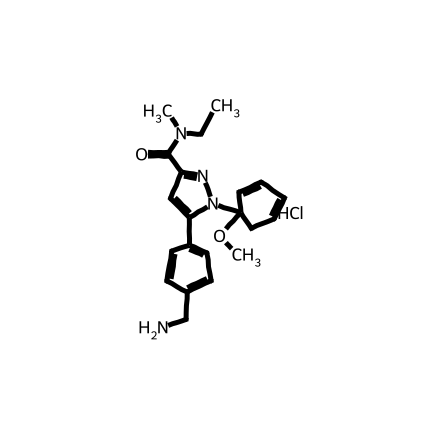 CCN(C)C(=O)c1cc(-c2ccc(CN)cc2)n(C2(OC)C=CC=CC2)n1.Cl